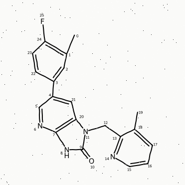 Cc1cc(-c2cnc3[nH]c(=O)n(Cc4ncccc4C)c3c2)ccc1F